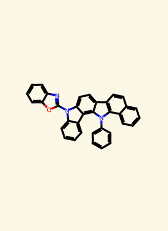 c1ccc(-n2c3c4ccccc4ccc3c3ccc4c(c5ccccc5n4-c4nc5ccccc5o4)c32)cc1